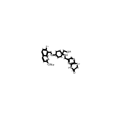 COc1ccc2ccc(F)c(CNC3CCC(CO)(NCc4cnc5c(n4)NC(=O)CS5)CC3)c2n1